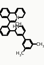 CC1=C(c2ccccc2C2C=C(c3cc(C)cc(C)c3)C=CN2)c2ccccc2C2=CC=CCN21